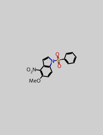 COc1ccc2c(ccn2S(=O)(=O)c2ccccc2)c1[N+](=O)[O-]